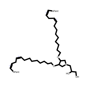 CCCCC/C=C\C/C=C\CCCCCCCCOC1CN(CC(O)CO)CC1OCCCCCCCC/C=C\C/C=C\CCCCC